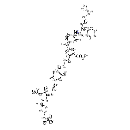 CCOC(=O)c1nc(N(C)c2cc(C)c(/N=c3\sc4ccccc4n3COCC[Si](C)(C)C)nn2)sc1CCCOc1ccc(C#CCN(CC[N+](C)(C)CCCS(=O)(=O)[O-])C(=O)OC(C)(C)C)cc1F